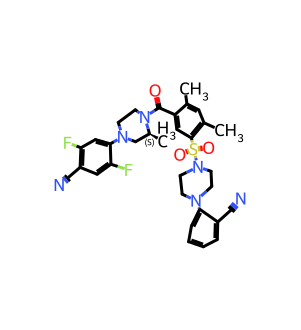 Cc1cc(C)c(S(=O)(=O)N2CCN(c3ccccc3C#N)CC2)cc1C(=O)N1CCN(c2cc(F)c(C#N)cc2F)C[C@@H]1C